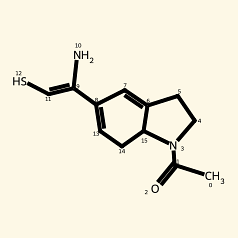 CC(=O)N1CCC2=CC(/C(N)=C/S)=CCC21